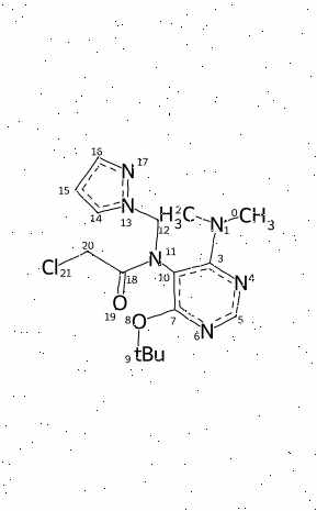 CN(C)c1ncnc(OC(C)(C)C)c1N(Cn1cccn1)C(=O)CCl